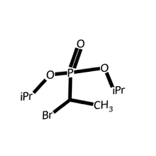 CC(C)OP(=O)(OC(C)C)C(C)Br